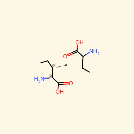 CCC(N)C(=O)O.CC[C@H](C)[C@H](N)C(=O)O